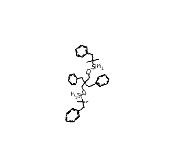 CC(C)(Cc1ccccc1)[SiH2]OCC(CO[SiH2]C(C)(C)Cc1ccccc1)(Cc1ccccc1)Cc1ccccc1